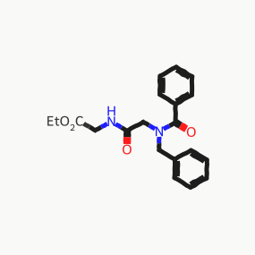 CCOC(=O)CNC(=O)CN(Cc1ccccc1)C(=O)c1ccccc1